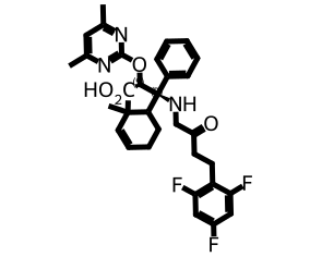 Cc1cc(C)nc(O[C@H](C(=O)O)[C@](NCC(=O)CCc2c(F)cc(F)cc2F)(c2ccccc2)C2CCC=CC2(C)C)n1